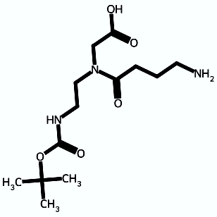 CC(C)(C)OC(=O)NCCN(CC(=O)O)C(=O)CCCN